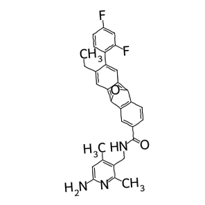 CCc1cc2c(cc1-c1ccc(F)cc1F)c1oc2c2cc(C(=O)NCc3c(C)cc(N)nc3C)ccc21